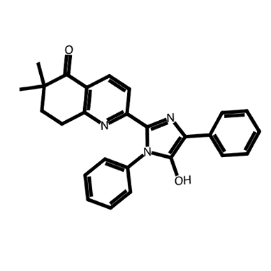 CC1(C)CCc2nc(-c3nc(-c4ccccc4)c(O)n3-c3ccccc3)ccc2C1=O